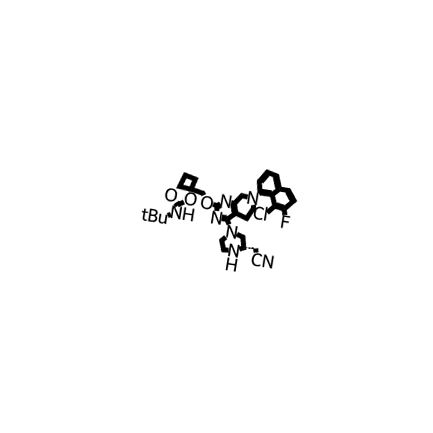 CC(C)(C)NC(=O)OC1(COc2nc3c(c(N4CCN[C@@H](CC#N)C4)n2)CCN(c2cccc4ccc(F)c(Cl)c24)C3)CCC1